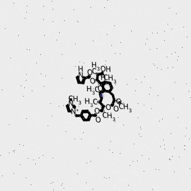 CO[C@H]1CC2C=C[C@@H]3C[C@]2(O[C@H]3[C@H](OC(=O)c2ccc[nH]2)[C@H](C)[C@H](C)O)/C(C)=C/[C@@H](C)[C@@H]([C@@H](C)OC(=O)c2ccc(C[n+]3ccn(C)c3)cc2)OC1=O